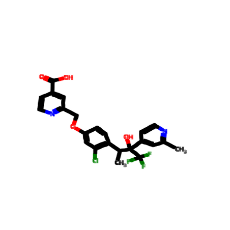 Cc1cc(C(O)(C(C)c2ccc(OCc3cc(C(=O)O)ccn3)cc2Cl)C(F)(F)F)ccn1